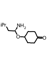 CC(C)C[C@@H](N)OC1CCC(=O)CC1